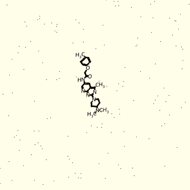 Cc1ccc(OCC(=O)Nc2cnc3nc(N4CCC(N(C)C)CC4)nc(C)c3c2)cc1